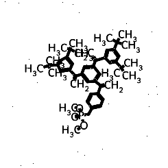 C=C(c1ccc(CP(=O)(OC)OC)cc1)c1cc(C(=C)c2cc(C(C)(C)C)cc(C(C)(C)C)c2)cc(C(=C)c2cc(C(C)(C)C)cc(C(C)(C)C)c2)c1